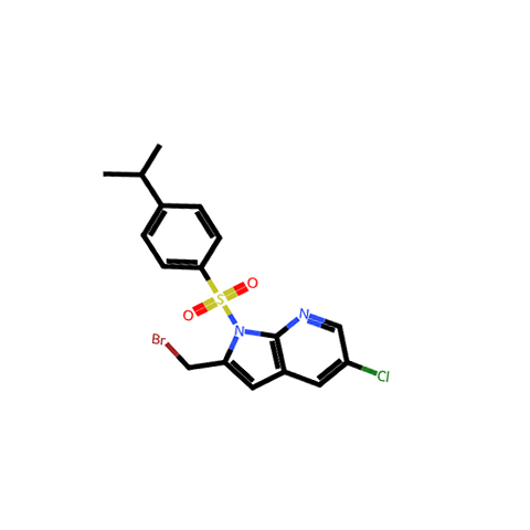 CC(C)c1ccc(S(=O)(=O)n2c(CBr)cc3cc(Cl)cnc32)cc1